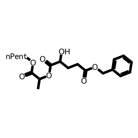 CCCCCOC(=O)C(C)OC(=O)C(O)CCC(=O)OCc1ccccc1